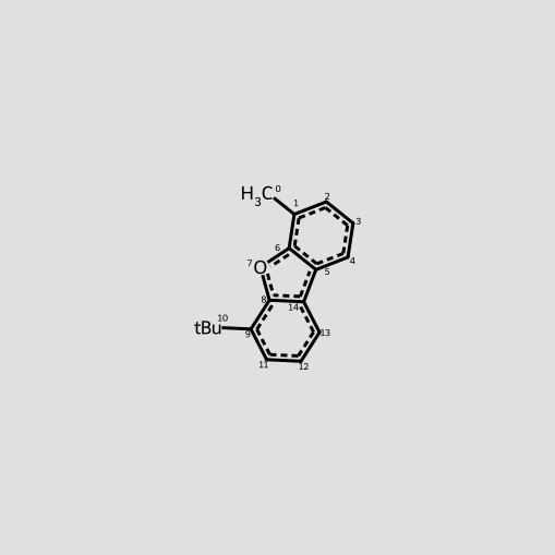 Cc1cccc2c1oc1c(C(C)(C)C)cccc12